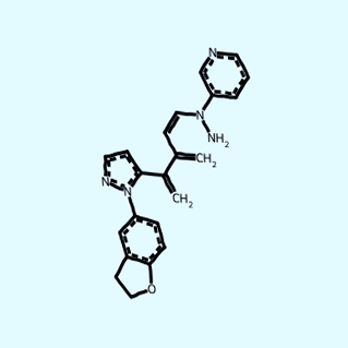 C=C(/C=C\N(N)c1cccnc1)C(=C)c1ccnn1-c1ccc2c(c1)CCO2